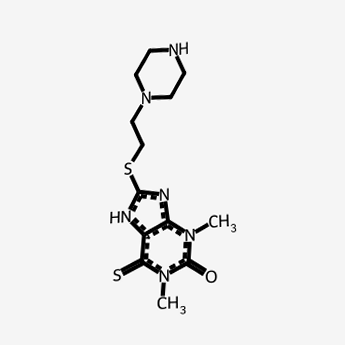 Cn1c(=S)c2[nH]c(SCCN3CCNCC3)nc2n(C)c1=O